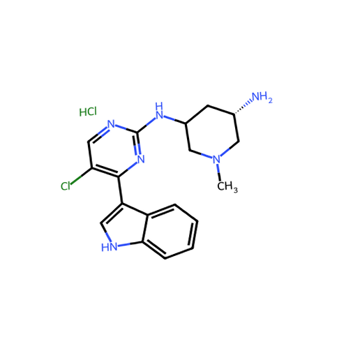 CN1CC(Nc2ncc(Cl)c(-c3c[nH]c4ccccc34)n2)C[C@H](N)C1.Cl